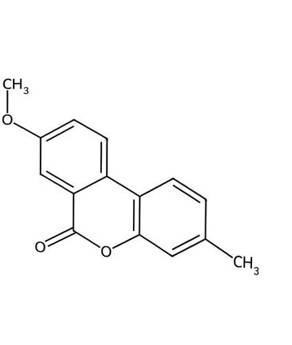 COc1ccc2c(c1)c(=O)oc1cc(C)ccc12